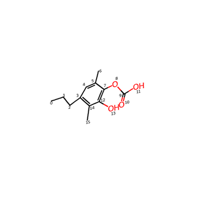 CCCc1cc(C)c(OC(=O)O)c(O)c1C